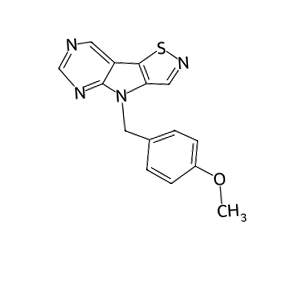 COc1ccc(Cn2c3cnsc3c3cncnc32)cc1